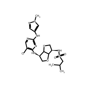 CC(C)CS(=O)(=O)N[C@@H]1COC2C1OC[C@H]2Nc1nc(Nc2cnn(C)c2)ncc1Cl